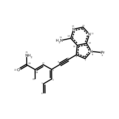 C=C/C=C(C#Cc1cn(C(C)C)c2ncnc(N)c12)\C=C(/C)C(N)=O